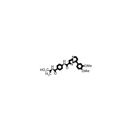 COc1ccc(-c2ccnc3cc(C(=O)Nc4ccc(C(=O)N[C@@H](C)C(=O)O)cc4)nn23)cc1OC